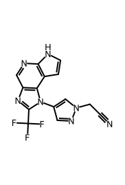 N#CCn1cc(-n2c(C(F)(F)F)nc3cnc4[nH]ccc4c32)cn1